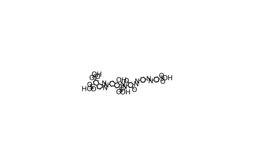 COc1cc(N=Nc2c(S(=O)(=O)O)cc3cc(-n4nc5ccc6c(S(=O)(=O)O)cc(S(=O)(=O)O)cc6c5n4)ccc3c2O)c(OC)cc1N=Nc1ccc(N=Nc2ccc(S(=O)(=O)O)cc2)cc1